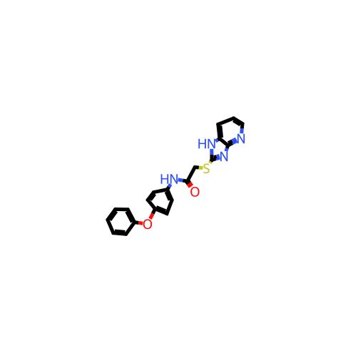 O=C(CSc1nc2ncccc2[nH]1)Nc1ccc(Oc2ccccc2)cc1